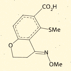 CON=C1CCOc2ccc(C(=O)O)c(SC)c21